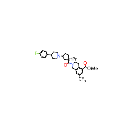 COC(=O)c1cc(C(F)(F)F)cc2c1CCN(C(=O)[C@@]1(C(C)C)CC[C@@H](N3CCC(c4ccc(F)cc4)CC3)C1)C2